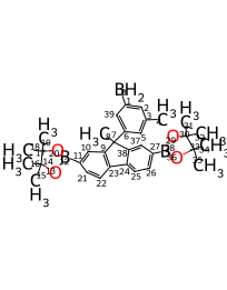 Bc1cc(C)cc(C2(C)c3cc(B4OC(C)(C)C(C)(C)O4)ccc3-c3ccc(B4OC(C)(C)C(C)(C)O4)cc32)c1